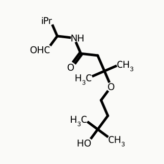 CC(C)C(C=O)NC(=O)CC(C)(C)OCCC(C)(C)O